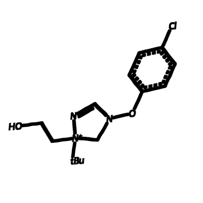 CC(C)(C)[N+]1(CCO)CN(Oc2ccc(Cl)cc2)C=N1